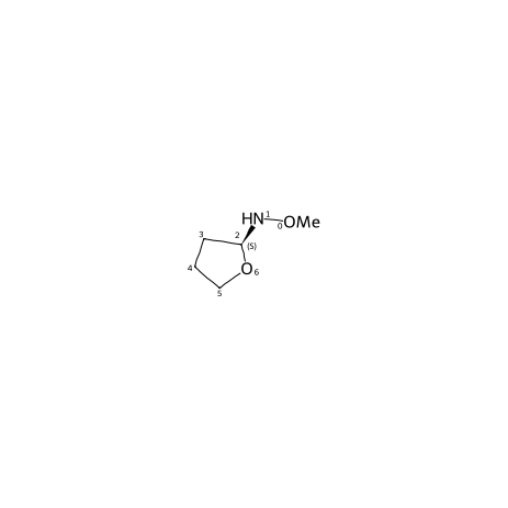 CON[C@@H]1CCCO1